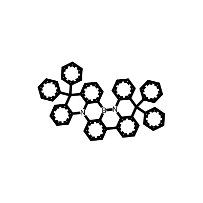 c1ccc(C2(c3ccccc3)c3ccccc3N3B4c5cccc6c5N(c5ccccc5C6(c5ccccc5)c5ccccc5)c5cccc(c54)-c4cccc2c43)cc1